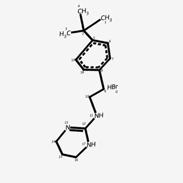 Br.CC(C)(C)c1ccc(CCNC2=NCCCN2)cc1